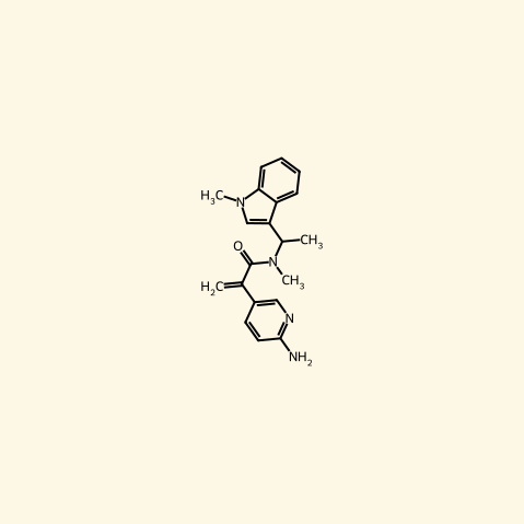 C=C(C(=O)N(C)C(C)c1cn(C)c2ccccc12)c1ccc(N)nc1